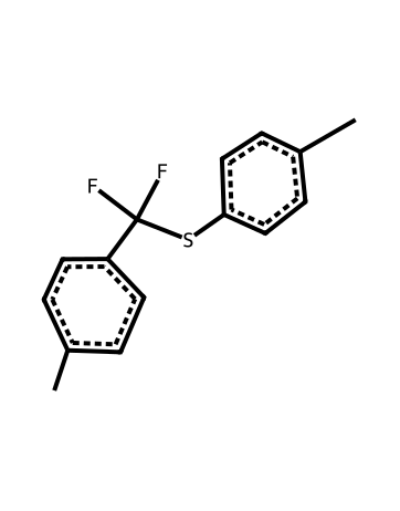 Cc1ccc(SC(F)(F)c2ccc(C)cc2)cc1